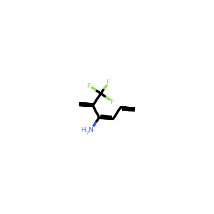 C=C/C=C(/N)C(=C)C(F)(F)F